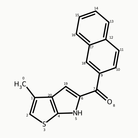 Cc1csc2[nH]c(C(=O)c3ccc4ccccc4c3)cc12